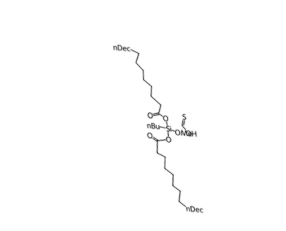 CCCCCCCCCCCCCCCCCC(=O)O[Si](CCCC)(OC)OC(=O)CCCCCCCCCCCCCCCCC.OC=S